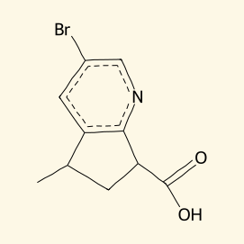 CC1CC(C(=O)O)c2ncc(Br)cc21